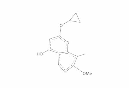 COc1ccc2c(O)cc(OC3CC3)nc2c1C